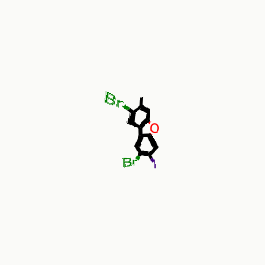 Cc1cc2oc3cc(I)c(Br)cc3c2cc1Br